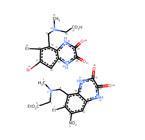 CCOC(=O)CN(C)Cc1c(CC)c([N+](=O)[O-])cc2[nH]c(=O)c(=O)[nH]c12.CCc1c(Br)cc2[nH]c(=O)c(=O)[nH]c2c1CN(C)CC(=O)O